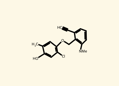 C#Cc1cccc(NC)c1COc1cc(C)c(O)cc1Cl